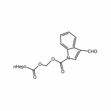 CCCCCCCC(=O)OCOC(=O)n1cc(C=O)c2ccccc21